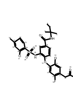 CCC(C)(C)NC(=O)c1ccc(Oc2cc(F)c(CC(=O)O)cc2Cl)c(NS(=O)(=O)c2ccc(C)cc2Cl)c1